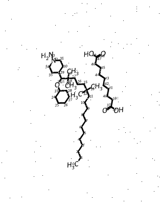 CCCCCCCCCCCCC(C)(C)CCCC(C)(C)C(OC1CCCCC1)C1CCN(N)CC1.O=C(O)CCCCCCCCC(=O)O